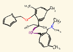 CCCC(C)(Pc1ccc(C)cc1CN(C)C)c1cc(C)cc(C)c1OCc1ccccc1